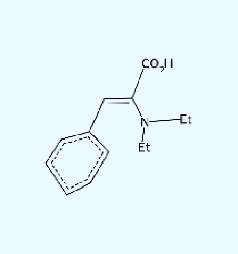 CCN(CC)C(=Cc1ccccc1)C(=O)O